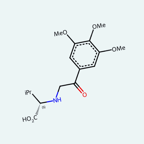 COc1cc(C(=O)CN[C@H](C(=O)O)C(C)C)cc(OC)c1OC